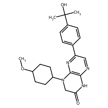 COC1CCC(N2CC(=O)Nc3ncc(-c4ccc(C(C)(C)O)cc4)nc32)CC1